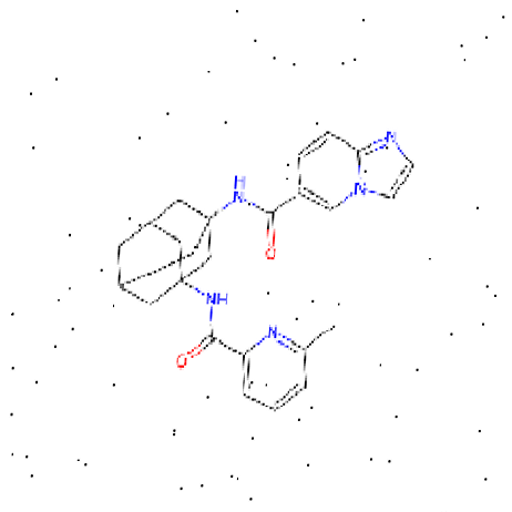 Cc1cccc(C(=O)NC23CC4CC(CC(NC(=O)c5ccc6nccn6c5)(C4)C2)C3)n1